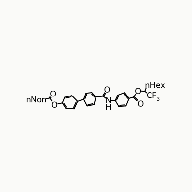 CCCCCCCCCC(=O)Oc1ccc(-c2ccc(C(=O)Nc3ccc(C(=O)OC(CCCCCC)C(F)(F)F)cc3)cc2)cc1